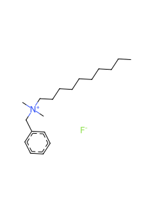 CCCCCCCCCC[N+](C)(C)Cc1ccccc1.[F-]